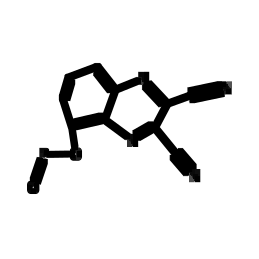 N#Cc1nc2cccc(OP=O)c2nc1C#N